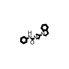 O=C(Nc1ccccc1)N1CC(N2CCc3ccccc32)C1